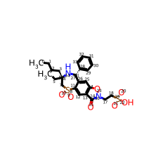 CCCC[C@]1(CC)CS(=O)(=O)c2cc3c(=O)n(CCS(=O)(=O)O)oc3cc2[C@@H](c2ccccc2)N1